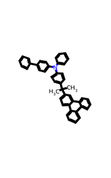 CC(C)(c1ccc(N(c2ccccc2)c2ccc(-c3ccccc3)cc2)cc1)c1ccc2c3ccccc3c3ccccc3c2c1